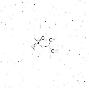 CS(=O)(=O)CC(O)O